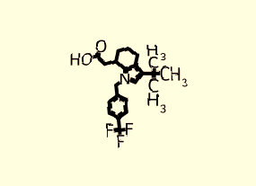 CC(C)(C)c1cn(Cc2ccc(C(F)(F)F)cc2)c2c1CCCC2CC(=O)O